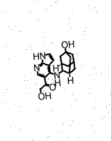 O=C(CO)c1cnc2[nH]ccc2c1NC1[C@@H]2CC3C[C@H]1CC(O)(C3)C2